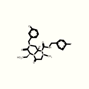 CN1CC(=O)N2[C@@H](CC(=O)O)C(=O)N(Cc3cccc(Cl)c3)C[C@@H]2N1C(=O)NCc1ccc(F)cc1